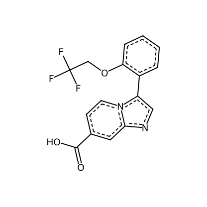 O=C(O)c1ccn2c(-c3ccccc3OCC(F)(F)F)cnc2c1